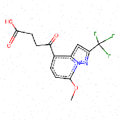 COc1ccc(C(=O)CCC(=O)O)c2cc(C(F)(F)F)nn12